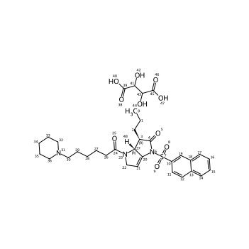 CCC[C@H]1C(=O)N(S(=O)(=O)c2ccc3ccccc3c2)C2=CCN(C(=O)CCCCCN3CCCCC3)[C@@H]21.O=C(O)C(O)C(O)C(=O)O